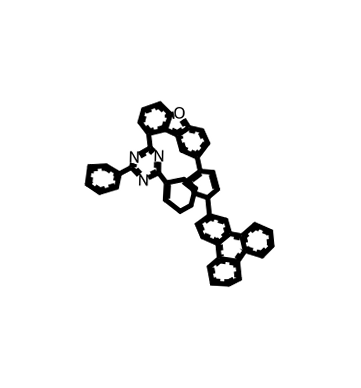 C1=CC(c2nc(-c3ccccc3)nc(-c3cccc4oc5ccc(C6=CCC(c7ccc8c9ccccc9c9ccccc9c8c7)C=C6)cc5c34)n2)=CCC1